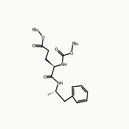 C[C@@H](Cc1ccccc1)NC(=O)[C@@H](CCC(=O)OC(C)(C)C)NC(=O)OC(C)(C)C